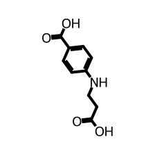 O=C(O)CCNc1ccc(C(=O)O)cc1